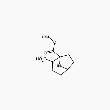 CCCCOC(=O)C12CCC(CC=C1C(=O)O)N2